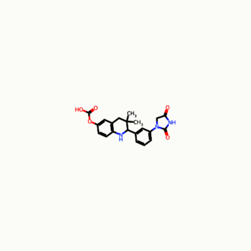 CC1(C)Cc2cc(OC(=O)O)ccc2NC1c1cccc(N2CC(=O)NC2=O)c1